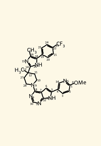 COc1ccc(-c2cc3c(N4CCC(C)(c5nc(C)c(-c6ccc(C(F)(F)F)cc6)[nH]5)CC4)ncnc3[nH]2)cn1